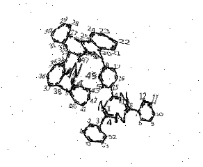 c1ccc(-c2nc(-c3ccccc3)nc(-c3ccc(-n4c5ccccc5c5c6ccccc6c6c7cccc8c9ccccc9n(c87)c6c54)cc3)n2)cc1